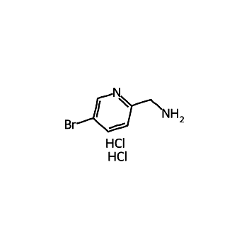 Cl.Cl.NCc1ccc(Br)cn1